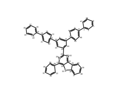 c1ccc(-c2ccc(-c3cc(-c4ccc(-c5ccccn5)cc4)cc(-c4nc(-c5ccccc5)c5sc6ccccc6c5n4)c3)cc2)cc1